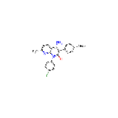 COc1ccc(-c2c(N)c3ccc(C(F)(F)F)nc3n(-c3ccc(Cl)cc3)c2=O)cc1